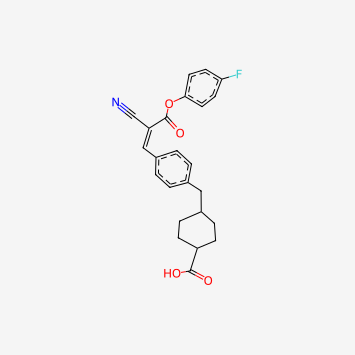 N#CC(=Cc1ccc(CC2CCC(C(=O)O)CC2)cc1)C(=O)Oc1ccc(F)cc1